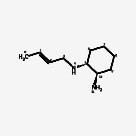 CC=CCN[C@@H]1CCCC[C@H]1N